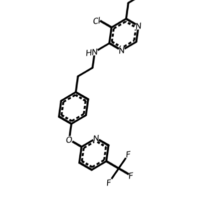 FC(F)(F)c1ccc(Oc2ccc(CCNc3ncnc(CCl)c3Cl)cc2)nc1